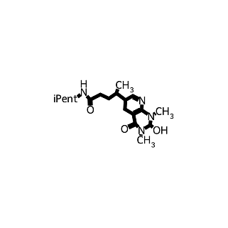 CCCC(C)NC(=O)CCC(C)C1C=NC2=C(C1)C(=O)N(C)C(O)N2C